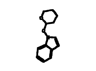 c1ccc2c(c1)ccn2OC1CCCCO1